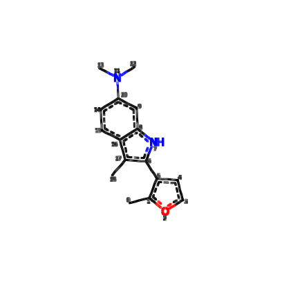 Cc1occc1-c1[nH]c2cc(N(C)C)ccc2c1C